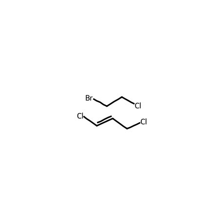 ClC=CCCl.ClCCBr